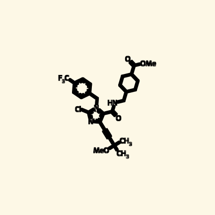 COC(=O)C1CCC(CNC(=O)c2c(C#CC(C)(C)OC)nc(Cl)n2Cc2ccc(C(F)(F)F)cc2)CC1